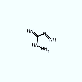 N=NC(=N)NN